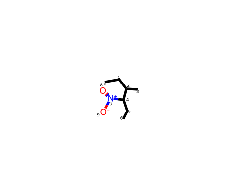 CCC(C)C(CC)[N+](=O)[O-]